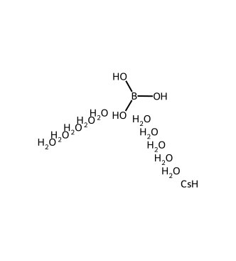 O.O.O.O.O.O.O.O.O.O.OB(O)O.[CsH]